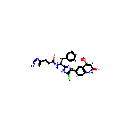 O=C(C=Cc1c[nH]cn1)NC(Cc1ccccc1)c1nc(-c2ccc3[nH]c(=O)cc(O)c3c2)c(Cl)[nH]1